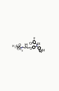 CC/C(=C(/c1ccc(OCCNC/C=C/C(=O)N(C)C)cc1)c1ccc2[nH]ncc2c1)c1cc(F)cc(Cl)c1